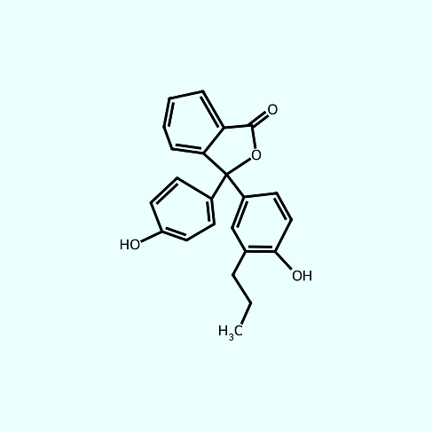 CCCc1cc(C2(c3ccc(O)cc3)OC(=O)c3ccccc32)ccc1O